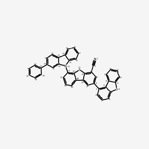 N#Cc1cc(-c2cccc3sc4ccccc4c23)cc2c1sc1c(-n3c4ccccc4c4ccc(-c5ccccc5)cc43)cccc12